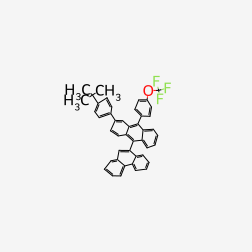 CC(C)(C)c1ccc(-c2ccc3c(-c4cc5ccccc5c5ccccc45)c4ccccc4c(-c4ccc(OC(F)(F)F)cc4)c3c2)cc1